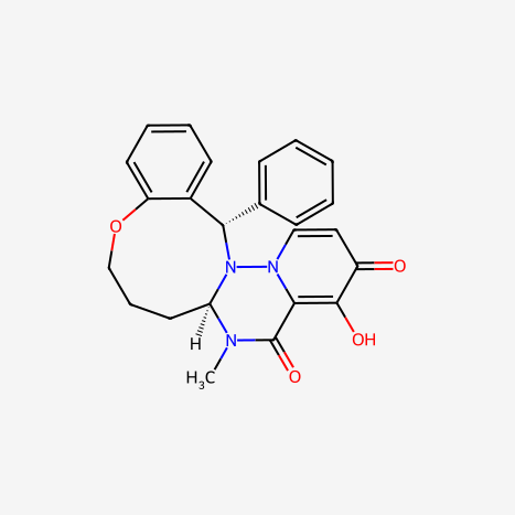 CN1C(=O)c2c(O)c(=O)ccn2N2[C@@H](c3ccccc3)c3ccccc3OCCC[C@H]12